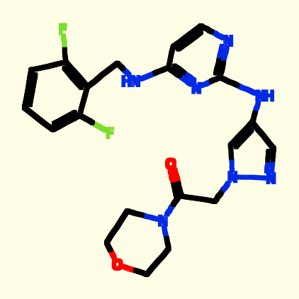 O=C(Cn1cc(Nc2nccc(NCc3c(F)cccc3F)n2)cn1)N1CCOCC1